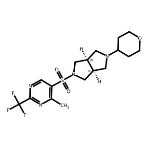 Cc1nc(C(F)(F)F)ncc1S(=O)(=O)N1C[C@H]2CN(C3CCOCC3)C[C@H]2C1